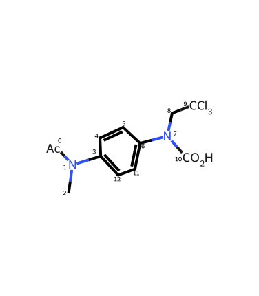 CC(=O)N(C)c1ccc(N(CC(Cl)(Cl)Cl)C(=O)O)cc1